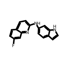 Fc1ccc2ccc(Nc3ccc4cc[nH]c4c3)nc2c1